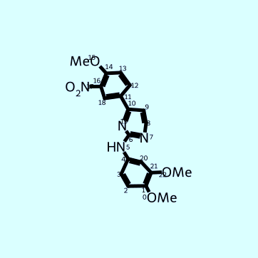 COc1ccc(Nc2nccc(-c3ccc(OC)c([N+](=O)[O-])c3)n2)cc1OC